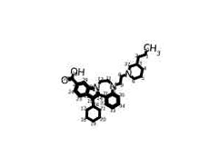 CCCC1CCCN(CCN2CCn3c(c(C4CCCCC4)c4ccc(C(=O)O)cc43)-c3ccccc32)C1